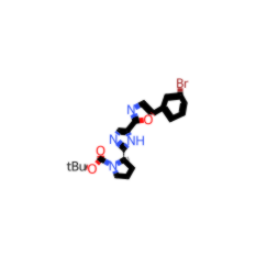 CC(C)(C)OC(=O)N1CCC[C@H]1c1ncc(-c2ncc(-c3cccc(Br)c3)o2)[nH]1